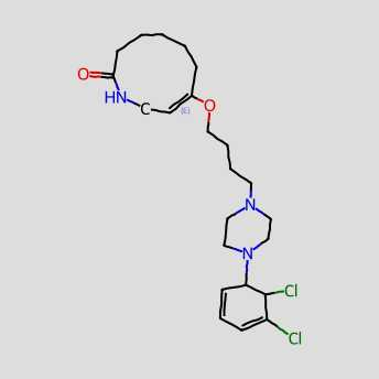 O=C1CCCCC/C(OCCCCN2CCN(C3C=CC=C(Cl)C3Cl)CC2)=C\CN1